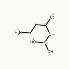 CCC(CCN)OP(O)O